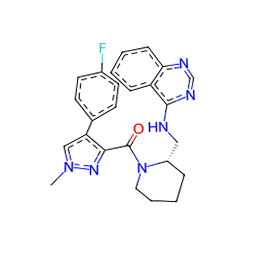 Cn1cc(-c2ccc(F)cc2)c(C(=O)N2CCCC[C@H]2CNc2ncnc3ccccc23)n1